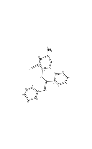 Nc1ccn(C/C(=C\c2ccccc2)c2ccccc2)c(=O)n1